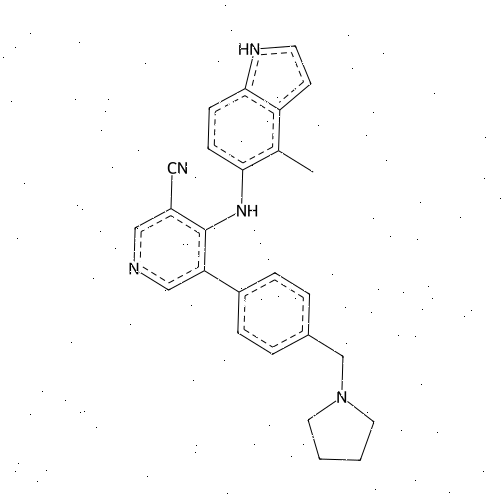 Cc1c(Nc2c(C#N)cncc2-c2ccc(CN3CCCC3)cc2)ccc2[nH]ccc12